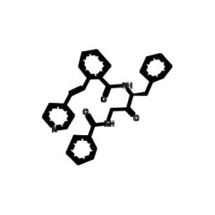 O=C(NCC(=O)[C@H](Cc1ccccc1)NC(=O)c1ccccc1C=Cc1ccncc1)c1ccccc1